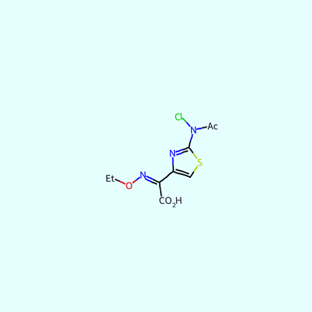 CCO/N=C(\C(=O)O)c1csc(N(Cl)C(C)=O)n1